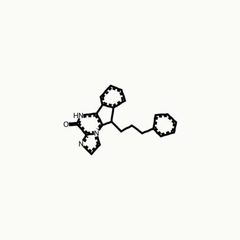 O=c1[nH]c2c(n3ccnc13)C(CCCc1ccccc1)c1ccccc1-2